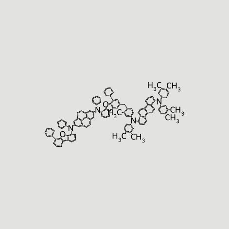 Cc1ccc(N(c2ccc(C)c(C)c2)c2cccc3c2ccc2c4cccc(N(c5ccc(C)c(C)c5)c5ccc(Cc6cc(-c7ccccc7)c7oc8c(N(c9ccccc9)c9cc%10ccc%11cc(N(c%12ccccc%12)c%12cccc%13c%12oc%12c(-c%14ccccc%14)cccc%12%13)cc%12ccc(c9)c%10c%11%12)cccc8c7c6)c(C)c5)c4ccc32)cc1C